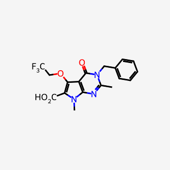 Cc1nc2c(c(OCC(F)(F)F)c(C(=O)O)n2C)c(=O)n1Cc1ccccc1